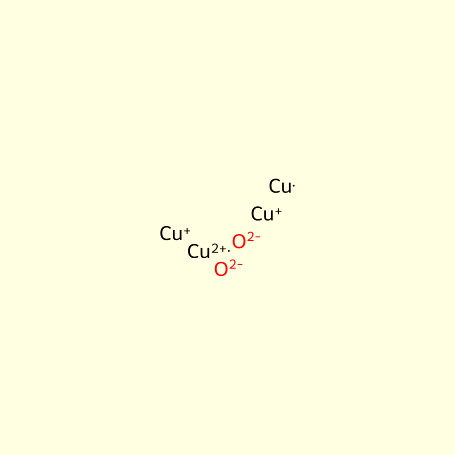 [Cu+2].[Cu+].[Cu+].[Cu].[O-2].[O-2]